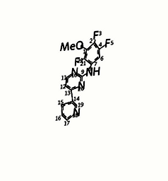 COc1c(F)c(F)cc(Nc2nccc(-c3cccnc3)n2)c1F